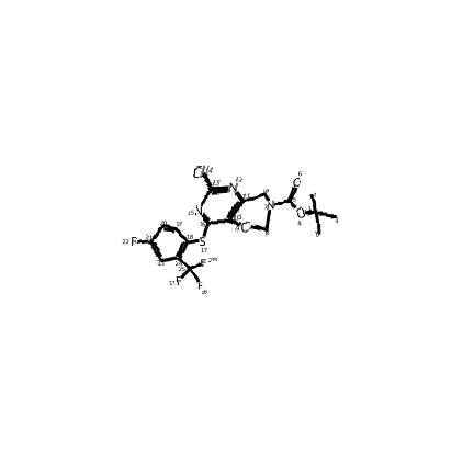 CC(C)(C)OC(=O)N1CCc2c(nc(Cl)nc2Sc2ccc(F)cc2C(F)(F)F)C1